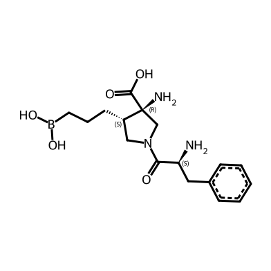 N[C@@H](Cc1ccccc1)C(=O)N1C[C@H](CCCB(O)O)[C@](N)(C(=O)O)C1